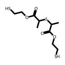 CC(SC(C)C(=O)OCCS)C(=O)OCCS